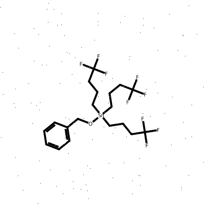 FC(F)(F)CC[CH2][Sn]([CH2]CCC(F)(F)F)([CH2]CCC(F)(F)F)[O]Cc1ccccc1